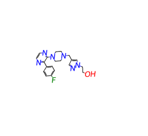 OCCn1cc(CN2CCN(c3nccnc3-c3ccc(F)cc3)CC2)cn1